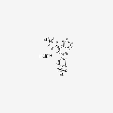 CCN1CCN(c2nc(-c3ccc(S(=O)(=O)CC)cc3)cc3ccccc23)CC1.Cl.Cl